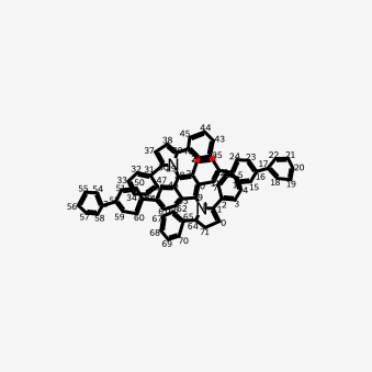 C1=C(c2ccccc2)N(c2c3cc(-c4ccc(-c5ccccc5)cc4)ccc3c(-n3c(-c4ccccc4)ccc3-c3ccccc3)c3cc(-c4ccc(-c5ccccc5)cc4)ccc23)C(c2ccccc2)C1